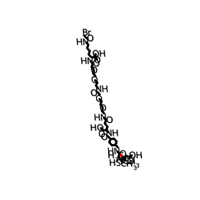 CC(C)(CC(=O)O)C(C)(S)CC(=O)NCC1CCC(C(=O)NC(CCC(=O)NCCOCCOCC(=O)NCCOCCOCC(=O)NC(CCCCNC(=O)CBr)C(=O)O)C(=O)O)CC1